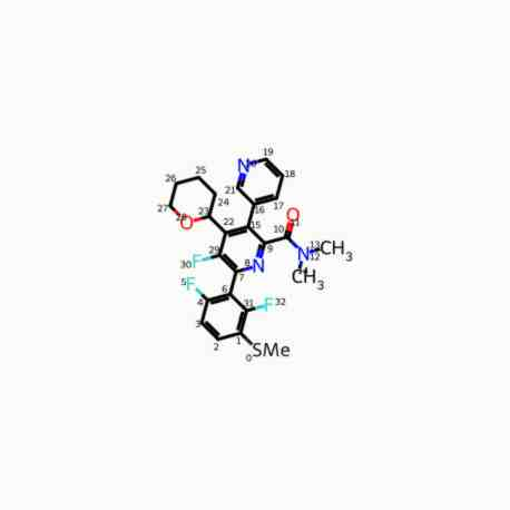 CSc1ccc(F)c(-c2nc(C(=O)N(C)C)c(-c3cccnc3)c(C3CCCCO3)c2F)c1F